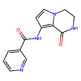 O=C(Nc1ccn2c1C(=O)NCC2)c1cccnc1